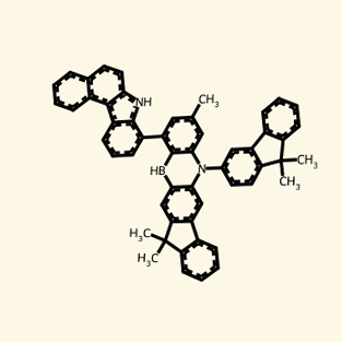 Cc1cc(-c2cccc3c2[nH]c2ccc4ccccc4c23)c2c(c1)N(c1ccc3c(c1)-c1ccccc1C3(C)C)c1cc3c(cc1B2)C(C)(C)c1ccccc1-3